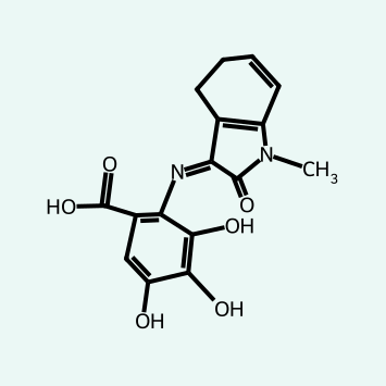 CN1C(=O)/C(=N\c2c(C(=O)O)cc(O)c(O)c2O)C2=C1C=CCC2